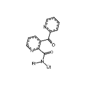 CCN(CC)C(=O)c1ncccc1C(=O)c1ccccn1